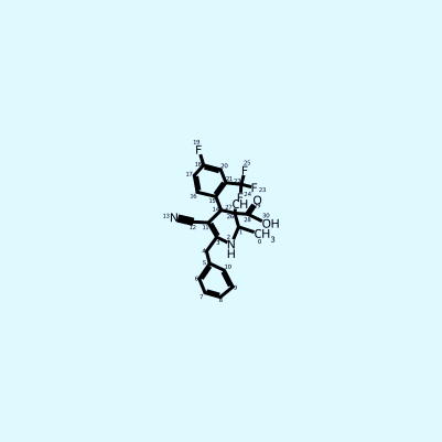 CC1NC(Cc2ccccc2)=C(C#N)C(c2ccc(F)cc2C(F)(F)F)C1(C)C(=O)O